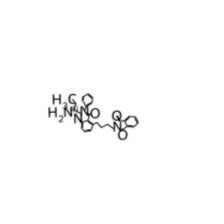 CC[C@H](N)c1nc2cccc(CCCCN3C(=O)c4ccccc4C3=O)c2c(=O)n1-c1ccccc1